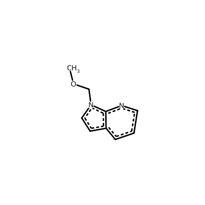 COCn1ccc2[c]ccnc21